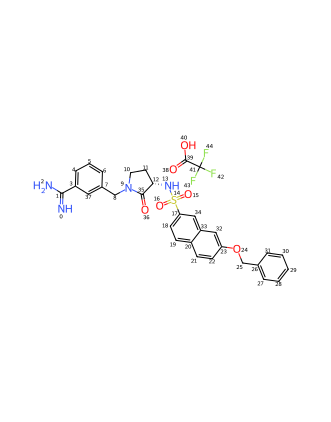 N=C(N)c1cccc(CN2CC[C@H](NS(=O)(=O)c3ccc4ccc(OCc5ccccc5)cc4c3)C2=O)c1.O=C(O)C(F)(F)F